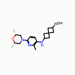 CNC1CC2(C1)CC(Nc1ccc(N3C[C@@H](C)O[C@@H](C)C3)nc1C)C2